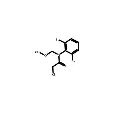 CCc1cccc(CC)c1N(COC(C)CC)C(=O)CCl